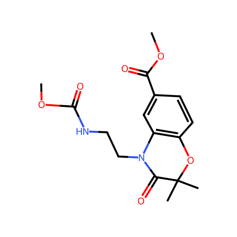 COC(=O)NCCN1C(=O)C(C)(C)Oc2ccc(C(=O)OC)cc21